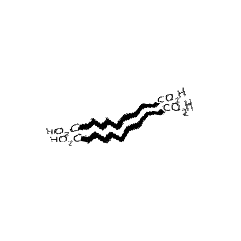 O=C(O)CCCCCCCCCC(=O)O.O=C(O)CCCCCCCCCC(=O)O